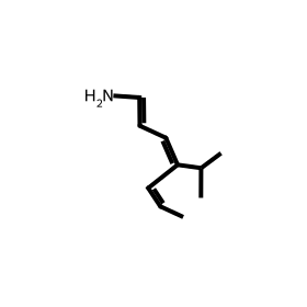 C\C=C/C(=C\C=C\N)C(C)C